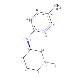 CN1CCC[C@@H](Nc2ncc(C(F)(F)F)cn2)C1